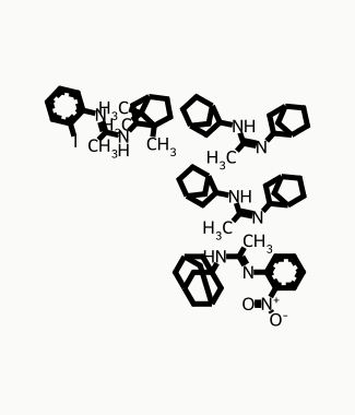 CC(=NC1CC2CCC1C2)NC1CC2CCC1C2.CC(=NC1CC2CCC1C2)NC1CC2CCC1C2.CC(=Nc1ccccc1I)NC1CC2CCC1(C)C2(C)C.CC(=Nc1ccccc1[N+](=O)[O-])NC12CC3CC(CC(C3)C1)C2